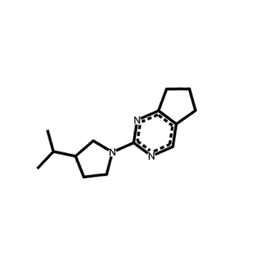 CC(C)C1CCN(c2ncc3c(n2)CCC3)C1